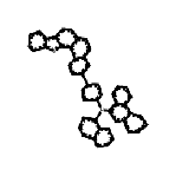 c1ccc2c(N(c3ccc(-c4ccc5c(ccc6ccc7c8ccccc8sc7c65)c4)cc3)c3cc4ccccc4c4ccccc34)cccc2c1